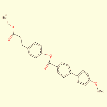 CCCCCCCCCCOc1ccc(-c2ccc(C(=O)Oc3ccc(CCC(=O)OC[C@@H](C)CC)cc3)cc2)cc1